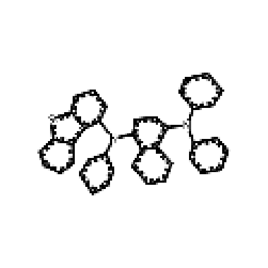 c1ccc(N(c2ccccc2)c2ccc(N(c3ccccc3)c3cccc4sc5ccccc5c34)c3ccccc23)cc1